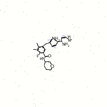 CN/C=C\C(N)C(C)/C=C\C(=C/N)Cc1cc(C(=O)NC2CCCOC2)c(F)c(C)c1C